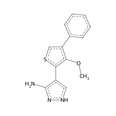 COc1c(-c2ccccc2)csc1-c1c[nH]nc1N